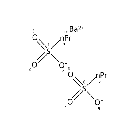 CCCS(=O)(=O)[O-].CCCS(=O)(=O)[O-].[Ba+2]